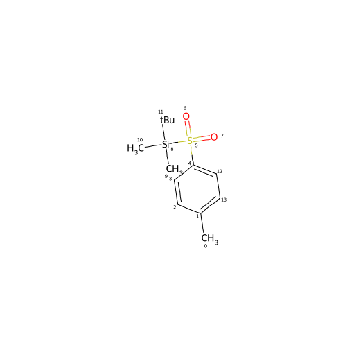 Cc1ccc(S(=O)(=O)[Si](C)(C)C(C)(C)C)cc1